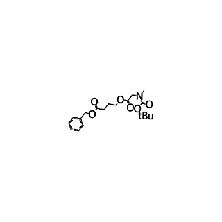 CN(CC(=O)OCCCC(=O)OCc1ccccc1)C(=O)OC(C)(C)C